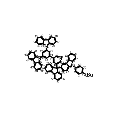 CC(C)(C)c1ccc(-n2c3ccccc3c3cc(C4(c5cncc(-c6cc(-n7c8ccccc8c8ccccc87)cc(-n7c8ccccc8c8ccccc87)c6)c5)c5ccccc5-c5ccccc54)ccc32)cc1